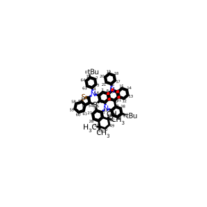 CC(C)(C)c1ccc(N2c3cc(N(c4ccccc4)c4ccccc4)cc4c3B(c3ccc5c(c3N4c3ccc(C(C)(C)C)cc3-c3ccccc3)C(C)(C)CCC5(C)C)c3c2sc2ccccc32)cc1